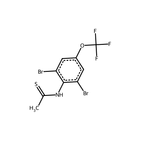 CC(=S)Nc1c(Br)cc(OC(F)(F)F)cc1Br